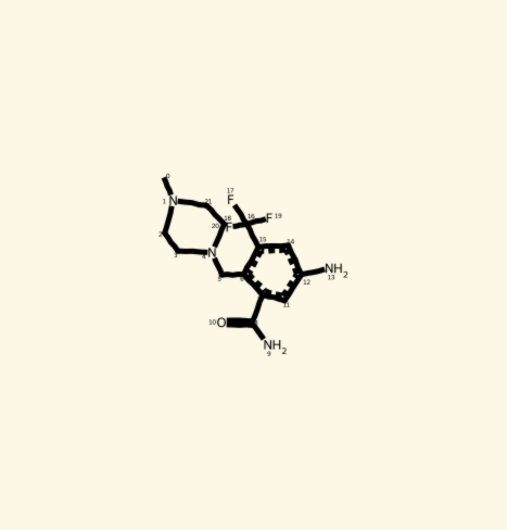 CN1CCN(Cc2c(C(N)=O)cc(N)cc2C(F)(F)F)CC1